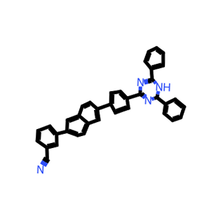 N#Cc1cccc(-c2ccc3cc(-c4ccc(C5=NC(c6ccccc6)NC(c6ccccc6)=N5)cc4)ccc3c2)c1